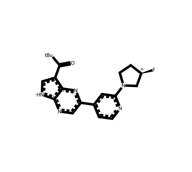 CC(C)(C)C(=O)c1c[nH]c2ncc(-c3ccnc(N4CC[C@@H](F)C4)c3)nc12